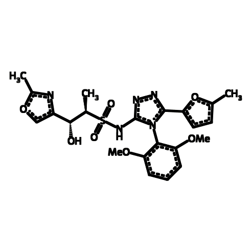 COc1cccc(OC)c1-n1c(NS(=O)(=O)[C@H](C)[C@H](O)c2coc(C)n2)nnc1-c1ccc(C)o1